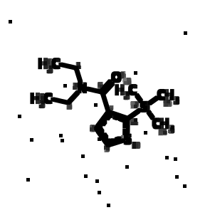 CCN(CC)C(=O)c1ccsc1[Si](C)(C)C